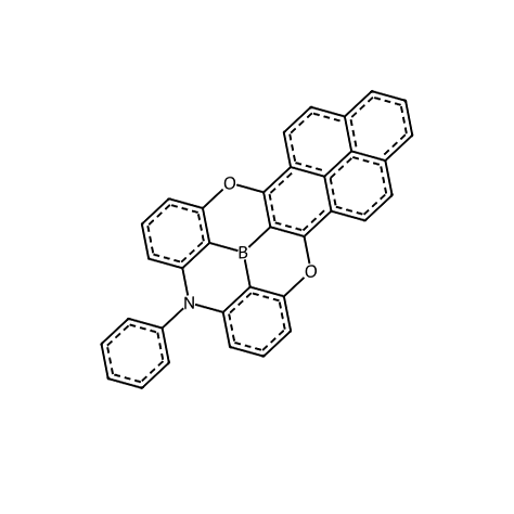 c1ccc(N2c3cccc4c3B3c5c(cccc52)Oc2c3c(c3ccc5cccc6ccc2c3c56)O4)cc1